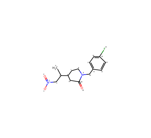 CC(C[N+](=O)[O-])C1CCN(Cc2ccc(F)cc2)C(=O)C1